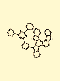 c1ccc(-c2nc(-c3ccccc3)nc(-c3cccc(-n4c5ccccc5c5c6ccc7oc8ccccc8c7c6c6c7ccccc7oc6c54)c3)n2)cc1